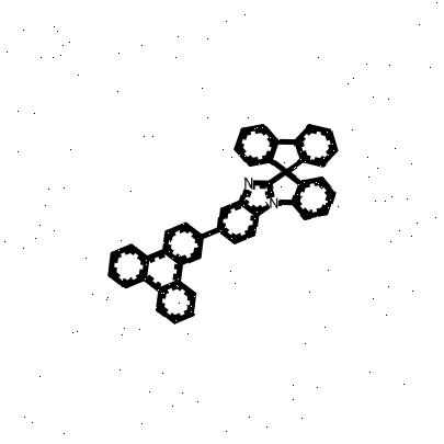 c1ccc2c(c1)-c1ccccc1C21c2ccccc2-n2c1nc1cc(-c3ccc4c5ccccc5c5ccccc5c4c3)ccc12